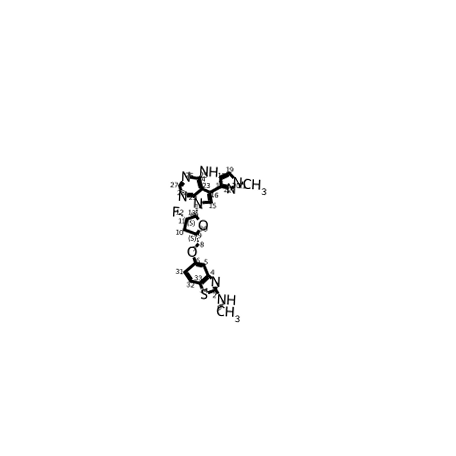 CNc1nc2cc(OC[C@@H]3C[C@H](F)[C@H](n4cc(-c5ccn(C)n5)c5c(N)ncnc54)O3)ccc2s1